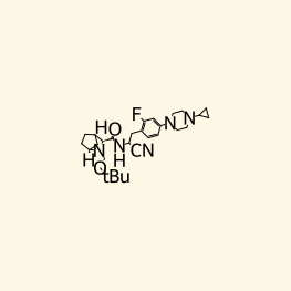 CC(C)(C)OCN1[C@@H]2CC[C@@H](C2)[C@H]1C(=O)N[C@H](C#N)Cc1ccc(N2CCN(C3CC3)CC2)cc1F